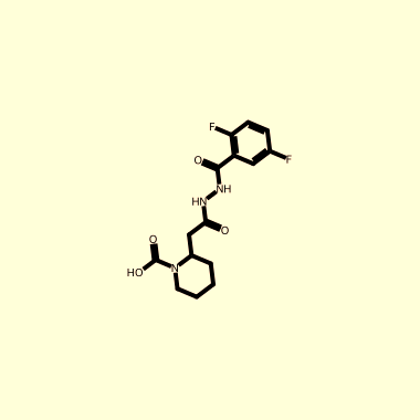 O=C(CC1CCCCN1C(=O)O)NNC(=O)c1cc(F)ccc1F